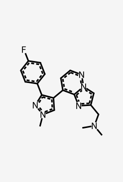 CN(C)Cc1cn2nccc(-c3cn(C)nc3-c3ccc(F)cc3)c2n1